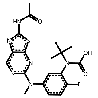 CC(=O)Nc1nc2cnc(N(C)c3ccc(F)c(N(C(=O)O)C(C)(C)C)c3)nc2s1